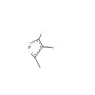 CCc1c(C(C)=O)noc1C